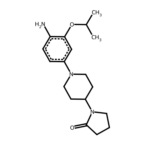 CC(C)Oc1cc(N2CCC(N3CCCC3=O)CC2)ccc1N